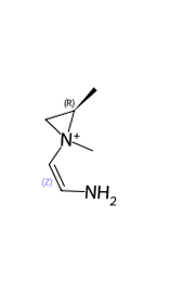 C[C@@H]1C[N+]1(C)/C=C\N